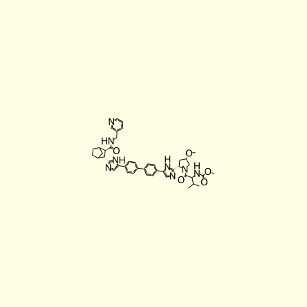 COC(=O)N[C@H](C(=O)N1C[C@@H](OC)C[C@H]1c1ncc(-c2ccc(-c3ccc(-c4cnc([C@@H]5C6CCC(C6)[C@H]5C(=O)NCc5cccnc5)[nH]4)cc3)cc2)[nH]1)C(C)C